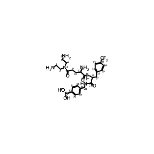 NCCN(CCN)C(=O)CCC(N)C(=O)NC(Cc1ccc(C(F)(F)F)cc1)C(=O)NCc1ccc(B(O)O)cc1